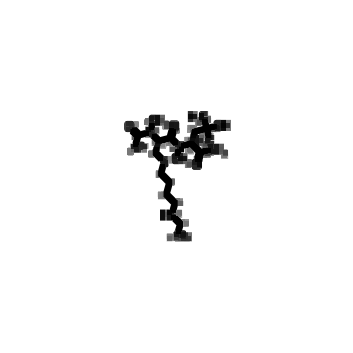 CCCC(=O)N(C)[C@H](CSCCCCNCC(C)(C)C)C(=O)N(C)[C@@H](CC(C)(C)O)C(N)=O